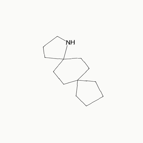 C1CCC2(C1)CCC1(CCCN1)CC2